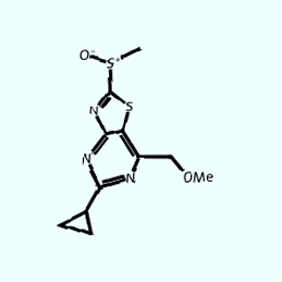 COCc1nc(C2CC2)nc2nc([S+](C)[O-])sc12